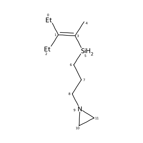 CCC(CC)=C(C)[SiH2]CCCN1CC1